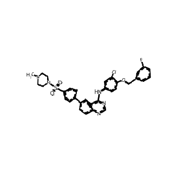 CN1CCN(S(=O)(=O)c2ccc(-c3ccc4ncnc(Nc5ccc(OCc6cccc(F)c6)c(Cl)c5)c4c3)cc2)CC1